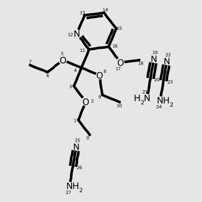 CCOCC(OCC)(OCC)c1ncccc1OC.N#CN.N#CN.N#CN